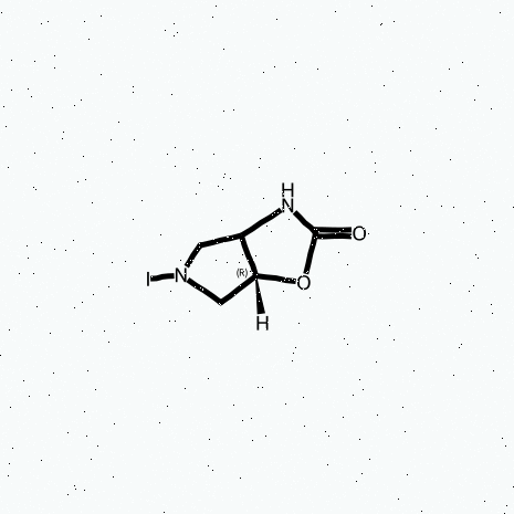 O=C1NC2CN(I)C[C@H]2O1